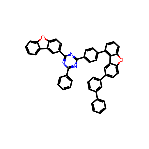 c1ccc(-c2cccc(-c3ccc4oc5cccc(-c6ccc(-c7nc(-c8ccccc8)nc(-c8ccc9oc%10ccccc%10c9c8)n7)cc6)c5c4c3)c2)cc1